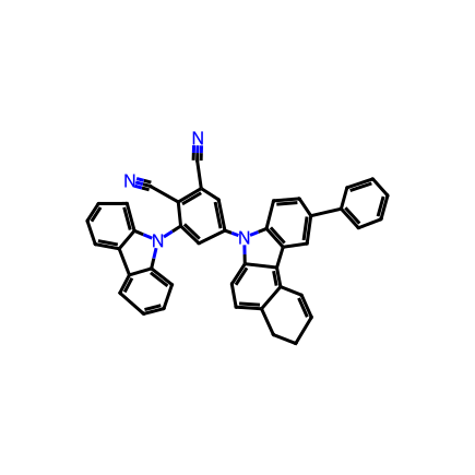 N#Cc1cc(-n2c3ccc(-c4ccccc4)cc3c3c4c(ccc32)CCC=C4)cc(-n2c3ccccc3c3ccccc32)c1C#N